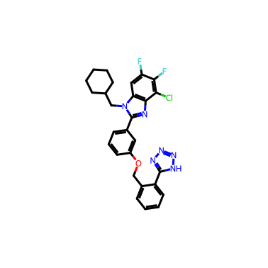 Fc1cc2c(nc(-c3cccc(OCc4ccccc4-c4nnn[nH]4)c3)n2CC2CCCCC2)c(Cl)c1F